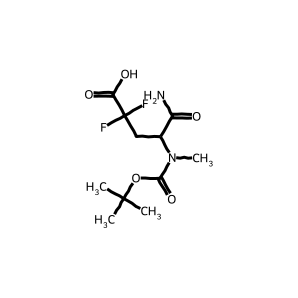 CN(C(=O)OC(C)(C)C)C(CC(F)(F)C(=O)O)C(N)=O